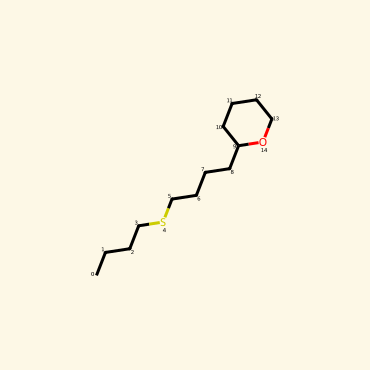 CCCCSCCCCC1CCCCO1